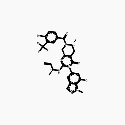 C=C[C@H](C)Nc1nc2c(c(=O)n1-c1cc(Cl)c3c(cnn3C)c1)C[C@@H](C)N(C(=O)c1ccc(Br)c(C(F)(F)F)c1)C2